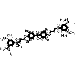 C[SiH](C)c1cc([SiH](C)C)cc([Si](C)(C)CCCOc2c(Br)cc(C(C)(C)c3cc(Br)c(OCCC[Si](C)(C)c4cc([SiH](C)C)cc([SiH](C)C)c4)c(Br)c3)cc2Br)c1